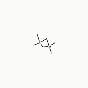 I[Si]1(I)C[Si](I)(I)C1